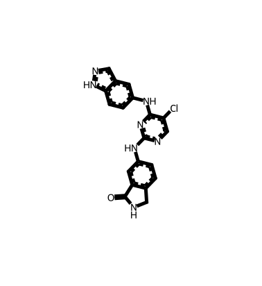 O=C1NCc2ccc(Nc3ncc(Cl)c(Nc4ccc5[nH]ncc5c4)n3)cc21